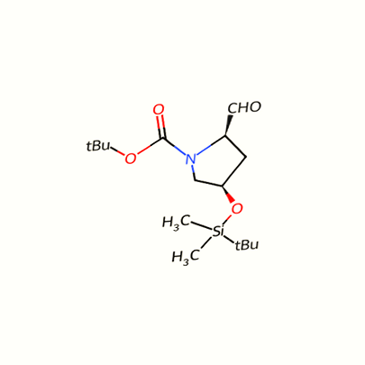 CC(C)(C)OC(=O)N1C[C@H](O[Si](C)(C)C(C)(C)C)C[C@@H]1C=O